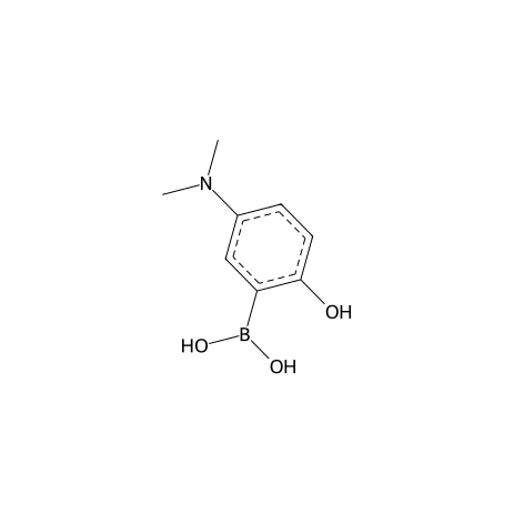 CN(C)c1ccc(O)c(B(O)O)c1